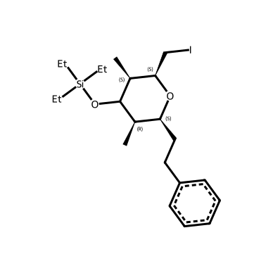 CC[Si](CC)(CC)OC1[C@@H](C)[C@@H](CI)O[C@@H](CCc2ccccc2)[C@H]1C